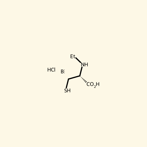 CCN[C@@H](CS)C(=O)O.Cl.[B]